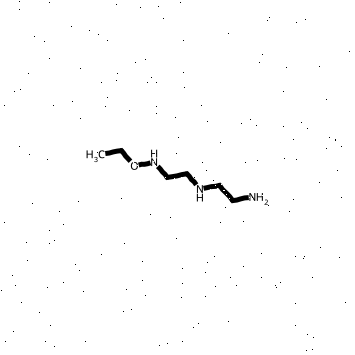 CCONCCNCCN